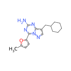 Cc1ccc(-c2nc(N)nc3c(CC4CCCCC4)cnn23)o1